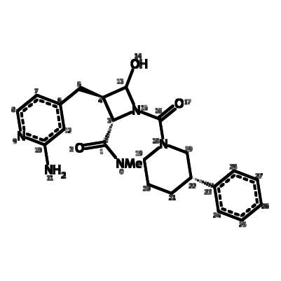 CNC(=O)[C@@H]1[C@@H](Cc2ccnc(N)c2)C(O)N1C(=O)N1CCC[C@@H](c2ccccc2)C1